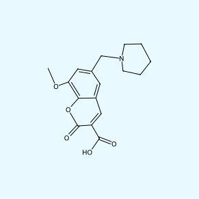 COc1cc(CN2CCCCC2)cc2cc(C(=O)O)c(=O)oc12